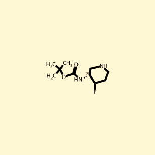 CC(C)(C)OC(=O)N[C@@H]1CNCCC1F